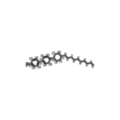 CCCCCCCCCCC1CCC(C2C=CC(c3ccc(F)cc3)=CC2)CC1